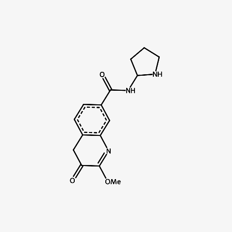 COC1=Nc2cc(C(=O)NC3CCCN3)ccc2CC1=O